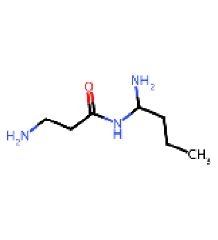 CCCC(N)NC(=O)CCN